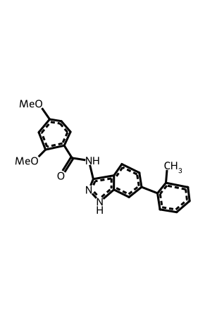 COc1ccc(C(=O)Nc2n[nH]c3cc(-c4ccccc4C)ccc23)c(OC)c1